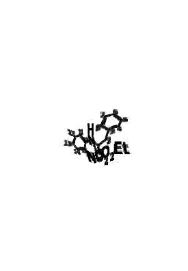 CCOC(=O)[C@H](Cc1ccccc1)Nc1ccccc1[N+](=O)[O-]